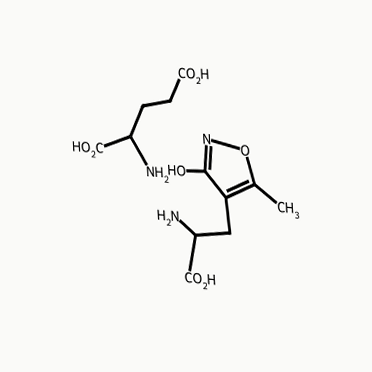 Cc1onc(O)c1CC(N)C(=O)O.NC(CCC(=O)O)C(=O)O